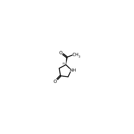 CC(=O)[C@@H]1CC(=O)CN1